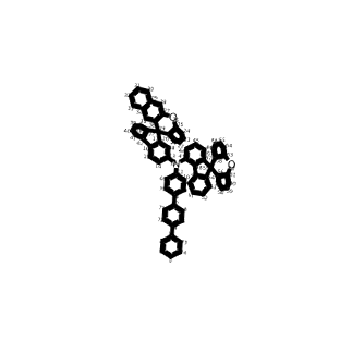 c1ccc(-c2ccc(-c3ccc(N(c4ccc5c(c4)C4(c6ccccc6Oc6cc7ccccc7cc64)c4ccccc4-5)c4cccc5c4-c4ccccc4C54c5ccccc5Oc5ccccc54)cc3)cc2)cc1